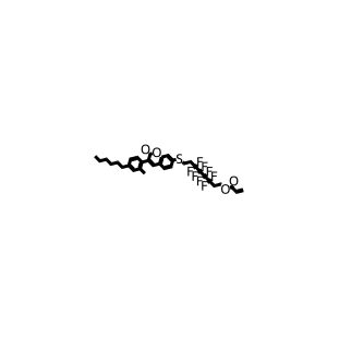 C=CC(=O)OCCC(F)(F)C(F)(F)C(F)(F)C(F)(F)CCSc1ccc2cc(-c3ccc(CCCCCC)cc3C)c(=O)oc2c1